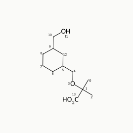 CC(C)(OCC1CCCC(CO)C1)C(=O)O